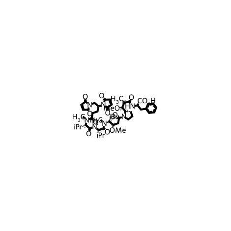 CC[C@H](C)[C@@H]([C@@H](CC(=O)N1CCC[C@H]1[C@H](OC)[C@@H](C)C(=O)NC(Cc1ccccc1)C(=O)O)OC)N(C)C(=O)[C@@H](NC(=O)[C@H](C(C)C)N(C)C(=O)CCC(CN1C(=O)C=CC1=O)N1C(=O)C=CC1=O)C(C)C